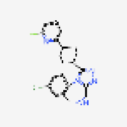 Fc1cccc(C2CCC(c3nnc4n3-c3ccc(Cl)cc3CNC4)CC2)n1